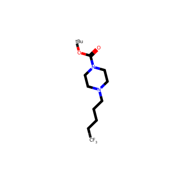 CC(C)(C)OC(=O)N1CCN(CCCCC(F)(F)F)CC1